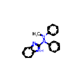 C=[N+](c1ccccc1)N(c1ccccc1)c1nc2ccccc2[nH]1